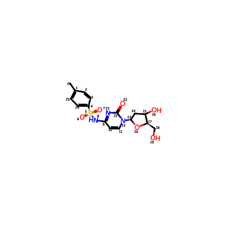 Cc1ccc(S(=O)(=O)Nc2ccn([C@H]3CC(O)[C@@H](CO)O3)c(=O)n2)cc1